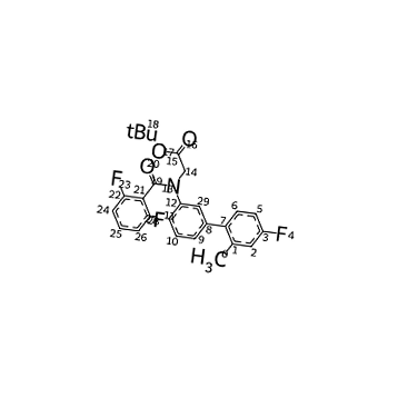 Cc1cc(F)ccc1-c1cccc(N(CC(=O)OC(C)(C)C)C(=O)c2c(F)cccc2F)c1